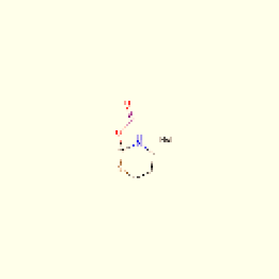 CC1(OP=O)NCCCS1.[NaH]